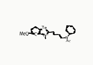 COc1ccc2[te]c(C=CC=CN(C(C)=O)c3ccccc3)[n+](C)c2c1